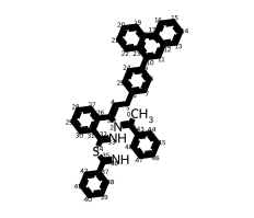 C/C(=N\C(=C/Cc1ccc(-c2cc3ccccc3c3ccccc23)cc1)c1ccccc1C(=N)SC(=N)c1ccccc1)c1ccccc1